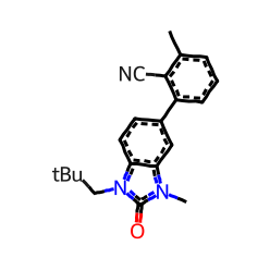 Cc1cccc(-c2ccc3c(c2)n(C)c(=O)n3CC(C)(C)C)c1C#N